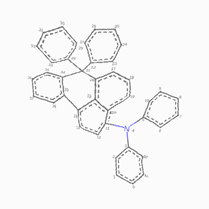 c1ccc(N(c2ccccc2)c2ccc3c4c(cccc24)C(c2ccccc2)(c2ccccc2)c2ccccc2-3)cc1